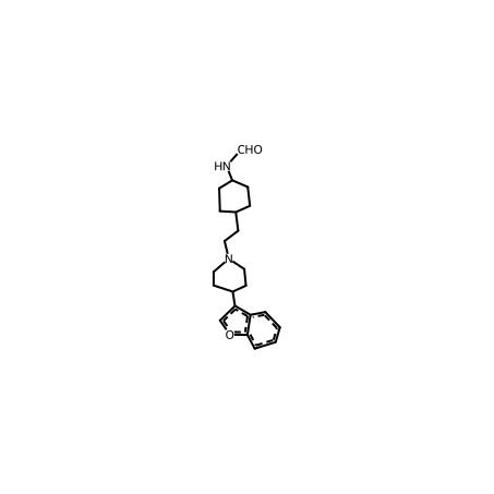 O=CNC1CCC(CCN2CCC(c3coc4ccccc34)CC2)CC1